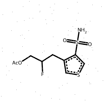 CC(=O)OCC(F)Cc1cscc1S(N)(=O)=O